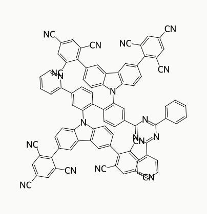 N#Cc1cc(C#N)c(-c2ccc3c(c2)c2cc(-c4c(C#N)cc(C#N)cc4C#N)ccc2n3-c2cc(-c3ccccn3)ccc2-c2ccc(-c3nc(-c4ccccc4)nc(-c4ccccc4)n3)cc2-n2c3ccc(-c4c(C#N)cc(C#N)cc4C#N)cc3c3cc(-c4c(C#N)cc(C#N)cc4C#N)ccc32)c(C#N)c1